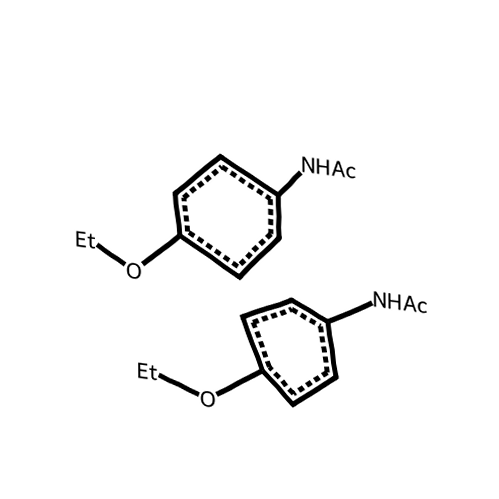 CCOc1ccc(NC(C)=O)cc1.CCOc1ccc(NC(C)=O)cc1